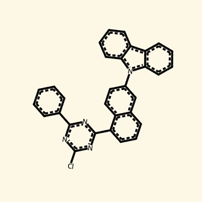 Clc1nc(-c2ccccc2)nc(-c2cccc3cc(-n4c5ccccc5c5ccccc54)ccc23)n1